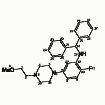 COCCN1CCN(c2ccc(F)c(NC(c3ccccc3)c3ccccc3)c2)CC1